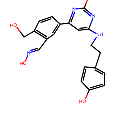 COc1nc(NCCc2ccc(O)cc2)cc(-c2ccc(CO)c(/C=N/O)c2)n1